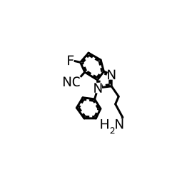 N#Cc1c(F)ccc2nc(CCCN)n(-c3ccccc3)c12